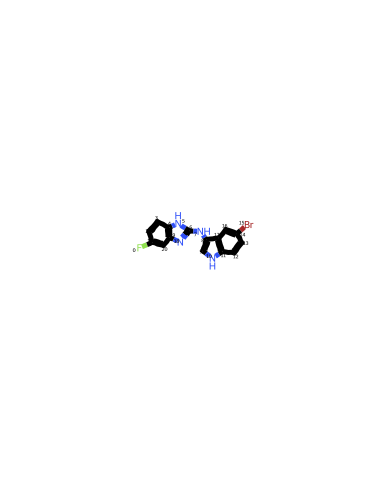 Fc1ccc2[nH]c(Nc3c[nH]c4ccc(Br)cc34)nc2c1